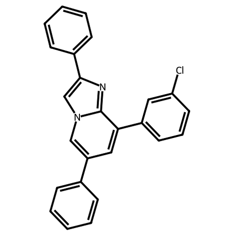 Clc1cccc(-c2cc(-c3ccccc3)cn3cc(-c4ccccc4)nc23)c1